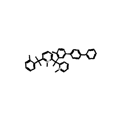 Cc1ccccc1C(C)(C)c1cccc(C(C)(c2cc(-c3ccc(-c4ccccc4)cc3)ccc2C)c2cccc[n+]2C)[n+]1C